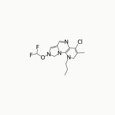 CCCN1CC(C)=C(Cl)C2=C1N1CN(OC(F)F)C=C1C=N2